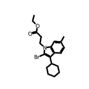 CCOC(=O)CCn1c(Br)c(C2CCCCC2)c2ccc(C)cc21